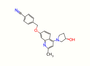 Cc1cc(N2CC[C@@H](O)C2)c2ccc(OCc3ccc(C#N)cc3)cc2n1